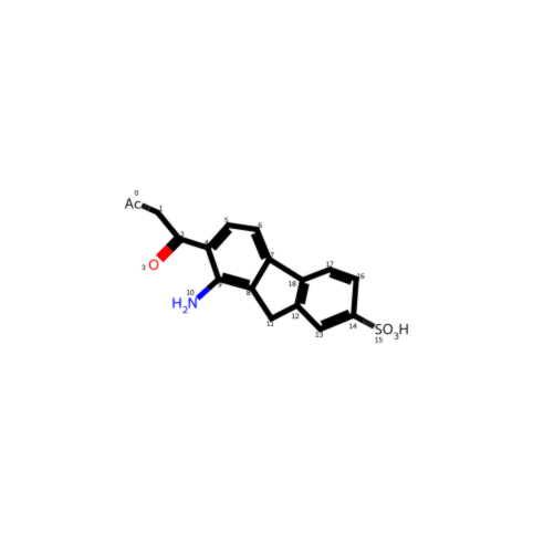 CC(=O)CC(=O)c1ccc2c(c1N)Cc1cc(S(=O)(=O)O)ccc1-2